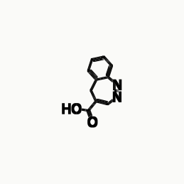 O=C(O)C1=CN=Nc2ccccc2C1